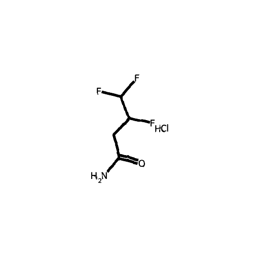 Cl.NC(=O)CC(F)C(F)F